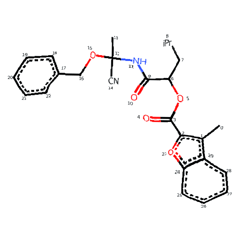 Cc1c(C(=O)OC(CC(C)C)C(=O)NC(C)(C#N)OCc2ccccc2)oc2ccccc12